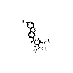 COC(=O)C(NS(=O)(=O)c1ccc2c(c1)oc1ccc(Br)cc12)C(C)C